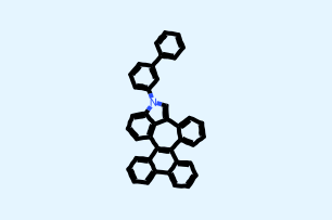 c1ccc(-c2cccc(-n3cc4c5c(cccc53)-c3c(c5ccccc5c5ccccc35)-c3ccccc3-4)c2)cc1